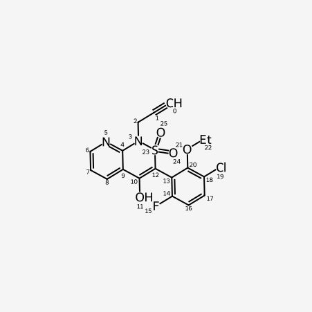 C#CCN1c2ncccc2C(O)=C(c2c(F)ccc(Cl)c2OCC)S1(=O)=O